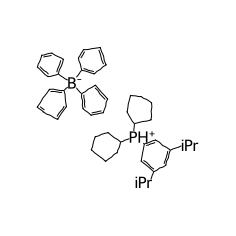 CC(C)c1cc(C(C)C)cc([PH+](C2CCCCC2)C2CCCCC2)c1.c1ccc([B-](c2ccccc2)(c2ccccc2)c2ccccc2)cc1